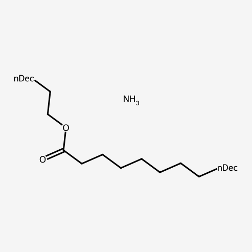 CCCCCCCCCCCCCCCCCC(=O)OCCCCCCCCCCCC.N